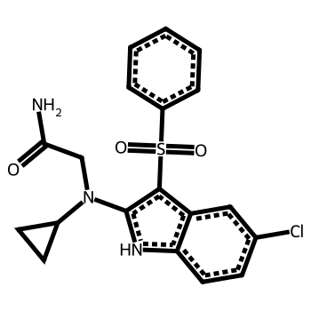 NC(=O)CN(c1[nH]c2ccc(Cl)cc2c1S(=O)(=O)c1ccccc1)C1CC1